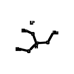 CCC(C)[O][AlH-]([O]C(C)CC)[O]C(C)CC.[Li+]